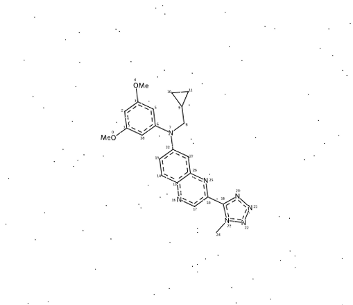 COc1cc(OC)cc(N(CC2CC2)c2ccc3ncc(-c4nnnn4C)nc3c2)c1